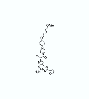 COCCOCCOc1ccc(N2CCN(C(=O)C(C3CC3)n3cc4c(nc(N)n5nc(-c6ccco6)nc45)n3)CC2)cc1